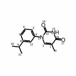 Cc1cn(-c2cccc(C(C)C)c2)c(=O)[nH]c1=O